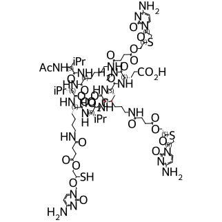 CC(=O)N[C@H](C(=O)N[C@@H](CCCCNC(=O)CCC(=O)OC[C@H]1O[C@@H](n2ccc(N)nc2=O)CS1)C(=O)N[C@H](C(=O)N[C@@H](CCCCNC(=O)CCC(=O)OCC(S)OCn1ccc(N)nc1=O)C(=O)N[C@H](C(=O)N[C@@H](CCCCNC(=O)CCC(=O)OC[C@H]1O[C@@H](n2ccc(N)nc2=O)CS1)C(=O)N[C@@H](CCC(=O)O)C(=O)N[C@@H](CCC(=O)O)C(N)=O)C(C)C)C(C)C)C(C)C